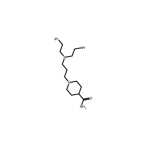 CC(C)CCN(CCCN1CCC(C(N)=O)CC1)CCC(C)C